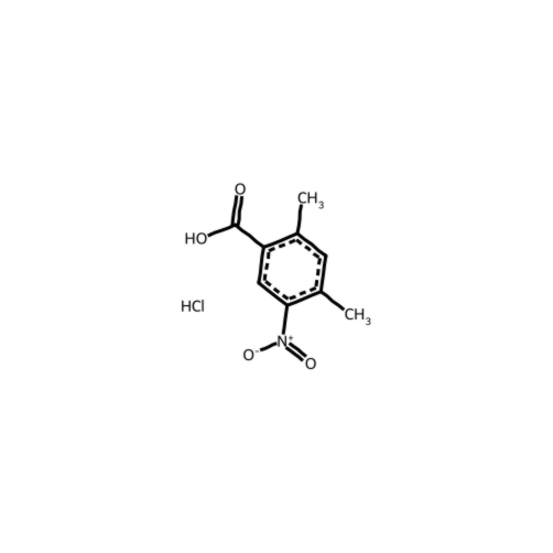 Cc1cc(C)c([N+](=O)[O-])cc1C(=O)O.Cl